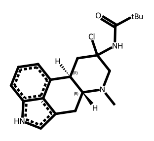 CN1CC(Cl)(NC(=O)C(C)(C)C)C[C@@H]2c3cccc4[nH]cc(c34)C[C@H]21